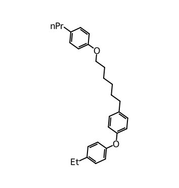 CCCc1ccc(OCCCCCCc2ccc(Oc3ccc(CC)cc3)cc2)cc1